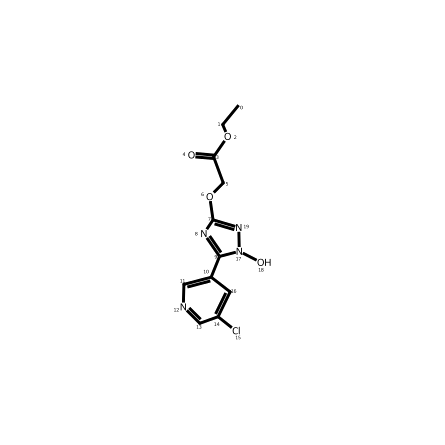 CCOC(=O)COc1nc(-c2cncc(Cl)c2)n(O)n1